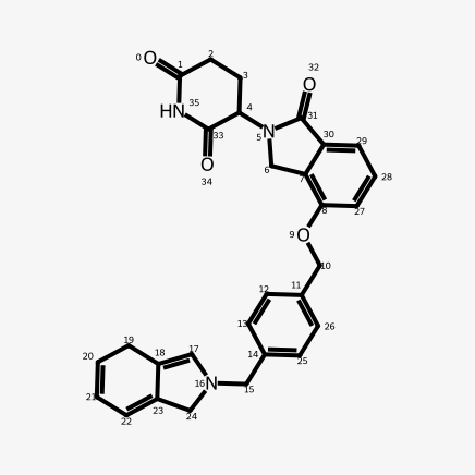 O=C1CCC(N2Cc3c(OCc4ccc(CN5C=C6CC=CC=C6C5)cc4)cccc3C2=O)C(=O)N1